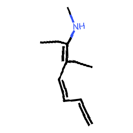 C=C/C=C\C(C)=C(/C)NC